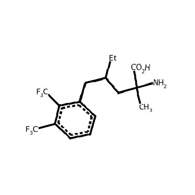 CCC(Cc1cccc(C(F)(F)F)c1C(F)(F)F)CC(C)(N)C(=O)O